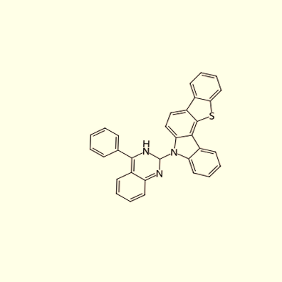 c1ccc(C2=c3ccccc3=NC(n3c4ccccc4c4c5sc6ccccc6c5ccc43)N2)cc1